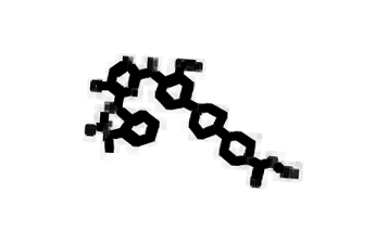 COc1cc(N2CCC(C3CCN(C(=O)OC(C)(C)C)CC3)CC2)ccc1Nc1ncc(Cl)c(Nc2ccccc2N(C)[S+](C)[O-])n1